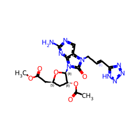 COC(=O)C[C@@H]1C[C@@H](OC(C)=O)[C@H](n2c(=O)n(C/C=C/c3nnn[nH]3)c3cnc(N)nc32)O1